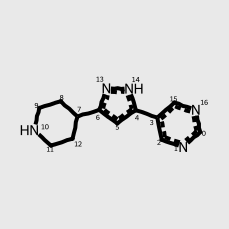 c1ncc(-c2cc(C3CCNCC3)n[nH]2)cn1